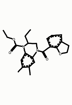 CCOC(=O)N1c2cc(C)c(C)cc2N(C(=O)c2cccc3c2OCC3)CC1CC